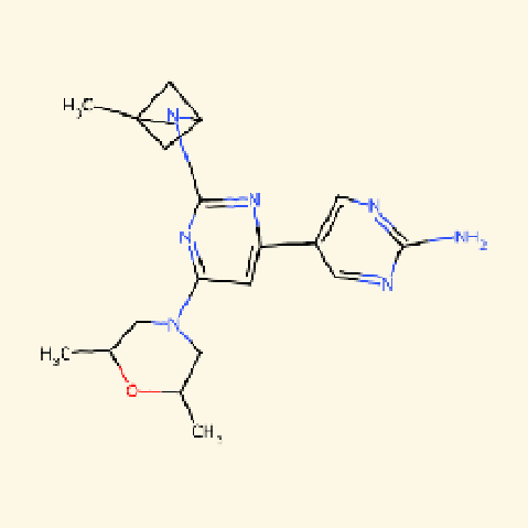 CC1CN(c2cc(-c3cnc(N)nc3)nc(N3CC4(C)CC3C4)n2)CC(C)O1